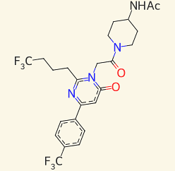 CC(=O)NC1CCN(C(=O)Cn2c(CCCC(F)(F)F)nc(-c3ccc(C(F)(F)F)cc3)cc2=O)CC1